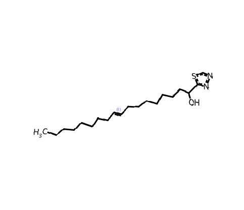 CCCCCCCC/C=C/CCCCCCCC(O)c1nncs1